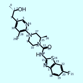 C[C@H](O)Cc1cnc(N2CCN(C(=O)Nc3nc4ccc(F)cc4s3)[C@H](C)C2)c(F)c1